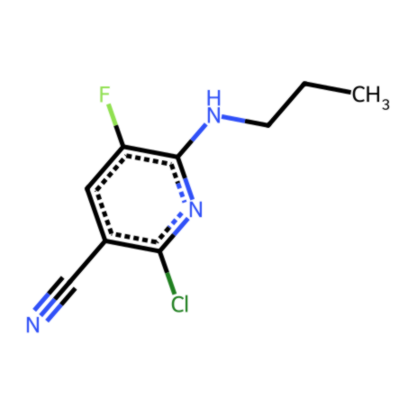 CCCNc1nc(Cl)c(C#N)cc1F